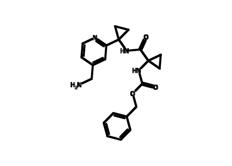 NCc1ccnc(C2(NC(=O)C3(NC(=O)OCc4ccccc4)CC3)CC2)c1